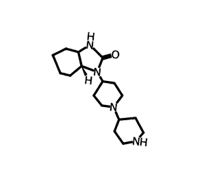 O=C1NC2CCCC[C@H]2N1C1CCN(C2CCNCC2)CC1